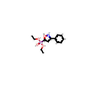 CCOP(=O)(OCC)c1cc(-c2ccccc2)no1